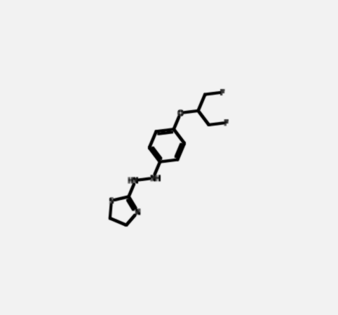 FCC(CF)Oc1ccc(NNC2=NCCS2)cc1